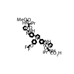 COC(=O)N[C@H](C(=O)N1CCC[C@H]1c1nc2ccc([C@H]3CC[C@H](c4ccc5nc([C@@H]6CCCN6C(=O)[C@@H](NC(=O)O)C(C)C)[nH]c5c4)N3c3ccc(OCC(F)F)cc3)cc2[nH]1)C(C)C